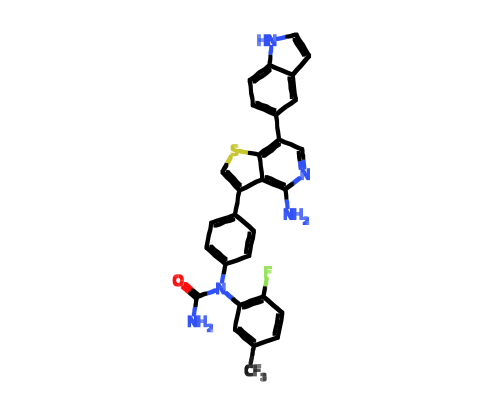 NC(=O)N(c1ccc(-c2csc3c(-c4ccc5[nH]ccc5c4)cnc(N)c23)cc1)c1cc(C(F)(F)F)ccc1F